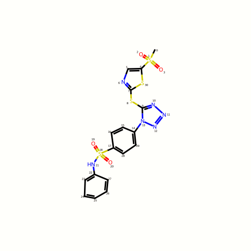 CS(=O)(=O)c1cnc(Sc2nnnn2-c2ccc(S(=O)(=O)Nc3ccccc3)cc2)s1